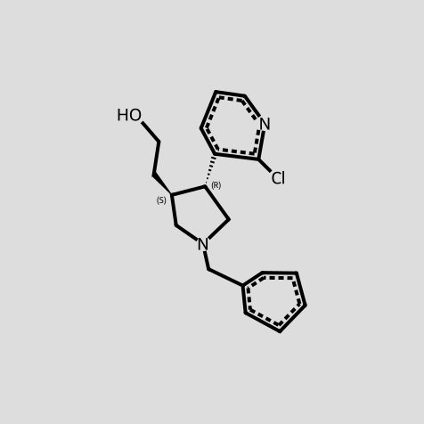 OCC[C@@H]1CN(Cc2ccccc2)C[C@H]1c1cccnc1Cl